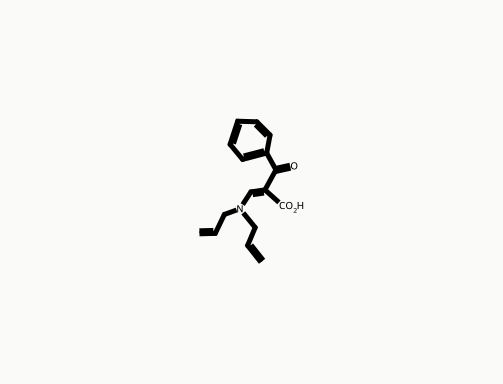 C=CCN(C=C(C(=O)O)C(=O)c1ccccc1)CC=C